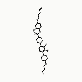 C=CCCCOc1ccc(OC(=O)C2CCC(c3ccc(C4CCC(OCCCC)CC4)c(F)c3F)CC2)c(F)c1